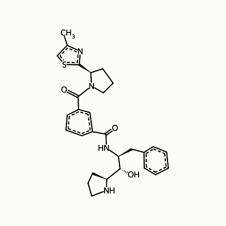 Cc1csc([C@H]2CCCN2C(=O)c2cccc(C(=O)N[C@@H](Cc3ccccc3)[C@H](O)[C@@H]3CCCN3)c2)n1